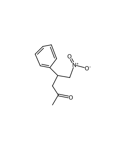 CC(=O)CC(C[N+](=O)[O-])c1ccccc1